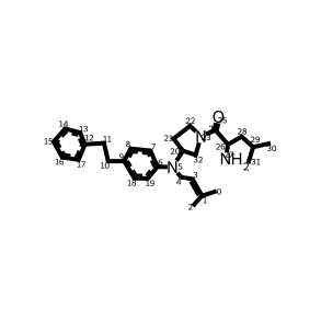 CC(C)=CCN(c1ccc(CCc2ccccc2)cc1)C1CCN(C(=O)C(N)CC(C)C)C1